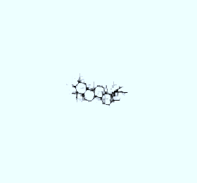 CC1(C)CC[C@]23CC[C@]4(C)[C@H](CC[C@@H]5[C@@]6(C)CC(F)(F)C(=O)C(C)(C)[C@@H]6CC[C@]54C)[C@H]2[C@H]1OC3